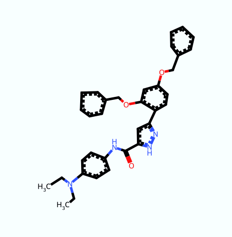 CCN(CC)c1ccc(NC(=O)c2cc(-c3ccc(OCc4ccccc4)cc3OCc3ccccc3)n[nH]2)cc1